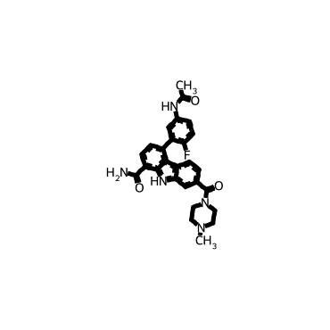 CC(=O)Nc1ccc(F)c(-c2ccc(C(N)=O)c3[nH]c4cc(C(=O)N5CCN(C)CC5)ccc4c23)c1